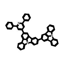 c1ccc(-c2cc(-c3cc4c5ccccc5n5c6ccc(-c7cc8c9ccccc9n9c%10ccccc%10c(c7)c89)cc6c(c3)c45)cc(-c3ccccc3)n2)cc1